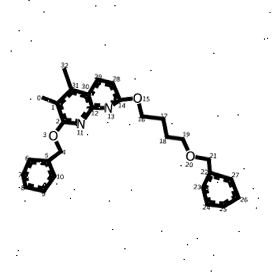 Cc1c(OCc2ccccc2)nc2nc(OCCCCOCc3ccccc3)ccc2c1C